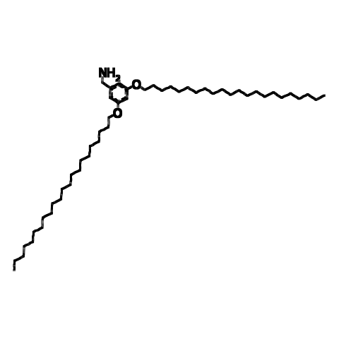 CCCCCCCCCCCCCCCCCCCCCCOc1cc(CN)cc(OCCCCCCCCCCCCCCCCCCCCCC)c1